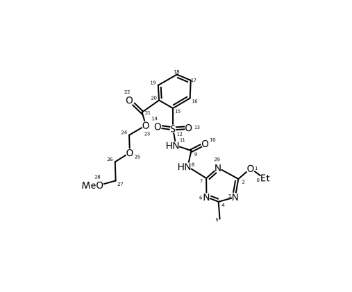 CCOc1nc(C)nc(NC(=O)NS(=O)(=O)c2ccccc2C(=O)OCOCCOC)n1